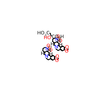 CS(=O)(=O)N1CCC[C@@H]2CN3CCc4cc5c(cc4[C@@H]3C[C@@H]21)OCO5.CS(=O)(=O)N1CCC[C@@H]2CN3CCc4cc5c(cc4[C@@H]3C[C@@H]21)OCO5.O=C(O)CC(O)C(=O)O